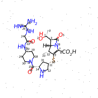 C[C@@H](O)[C@H]1C(=O)N2C(C(=O)O)=C(S[C@@H]3CN[C@H](C(=O)N4CCC(NC(=O)CNC(=N)N)CC4)C3)[C@H](C)[C@H]12